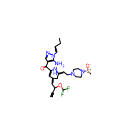 C#CC(/C=C1/C=C(C(=O)c2cnn(/C=C/CC)c2N)N/C(=C/CN2CCN([S+](C)[O-])CC2)C1)OC(F)F